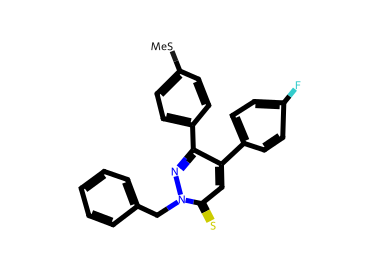 CSc1ccc(-c2nn(Cc3ccccc3)c(=S)cc2-c2ccc(F)cc2)cc1